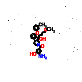 COCCCC[C@@](O)(c1ccccc1Oc1cccc(C)c1)[C@@H]1CCCN(C(=O)[C@H]2C[C@@H](N)[C@@H](O)C2)C1